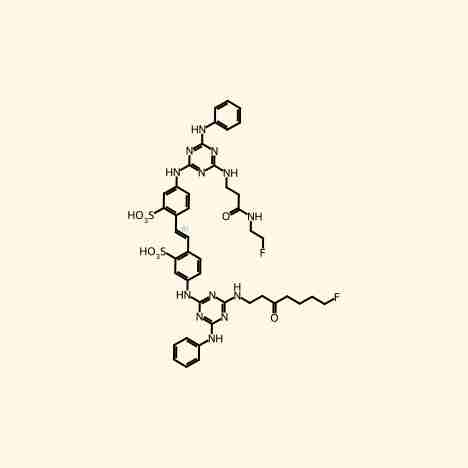 O=C(CCCCF)CCNc1nc(Nc2ccccc2)nc(Nc2ccc(/C=C/c3ccc(Nc4nc(NCCC(=O)NCCF)nc(Nc5ccccc5)n4)cc3S(=O)(=O)O)c(S(=O)(=O)O)c2)n1